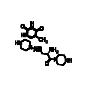 CC(=O)N1CCNCC1.Cc1c[nH]c(=O)[nH]c1=O.N[C@@H](CO)C(=O)N1CCNCC1